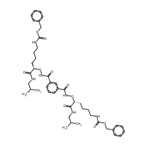 CC(C)CNC(=O)[C@@H](CCCCNC(=O)OCc1ccccc1)ONC(=O)c1cccc(C(=O)NO[C@H](CCCCNC(=O)OCc2ccccc2)C(=O)NCC(C)C)c1